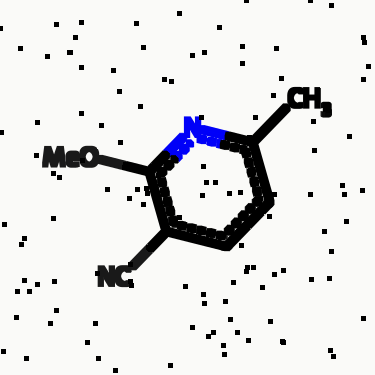 COc1nc(C)ccc1C#N